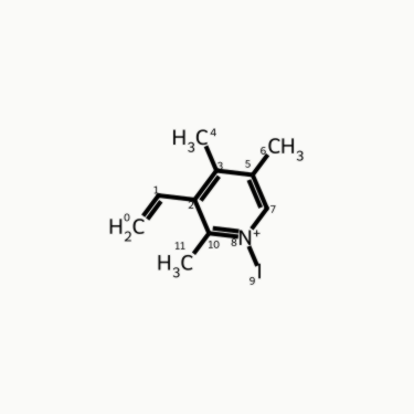 C=Cc1c(C)c(C)c[n+](I)c1C